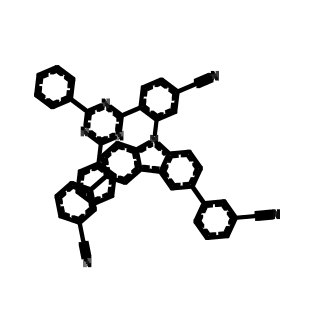 N#Cc1cccc(-c2ccc3c(c2)c2cc(-c4cccc(C#N)c4)ccc2n3-c2cc(C#N)ccc2-c2nc(-c3ccccc3)nc(-c3ccccc3)n2)c1